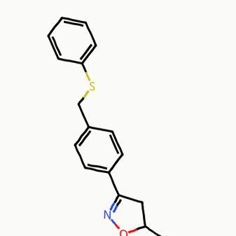 FC(F)(F)C1CC(c2ccc(CSc3ccccc3)cc2)=NO1